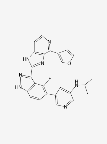 CC(C)Nc1cncc(-c2ccc3[nH]nc(-c4nc5c(-c6ccoc6)nccc5[nH]4)c3c2F)c1